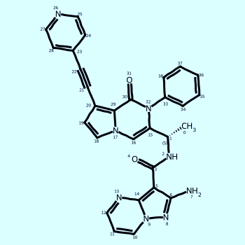 C[C@H](NC(=O)c1c(N)nn2cccnc12)c1cn2ccc(C#Cc3ccncc3)c2c(=O)n1-c1ccccc1